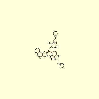 O=C(NCCN1CCCC1)c1cn2c3c(c(NCCN4CCCC4)c(F)cc3c1=O)Oc1cc3c(cc1-2)-c1ccccc1CO3